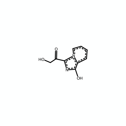 O=C(CO)c1nc(O)c2ccccn12